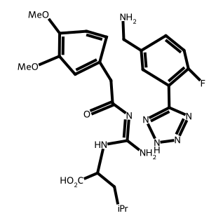 COc1ccc(CC(=O)N=C(N)NC(CC(C)C)C(=O)O)cc1OC.NCc1ccc(F)c(-c2nn[nH]n2)c1